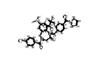 CN(C)c1ccc2c(c1)CN(C(=O)c1ccc(Cl)cc1)CC(=O)[N+]2(Cc1ccc(C(=O)N2CC=CC2)cc1)OC(=O)C(F)(F)F